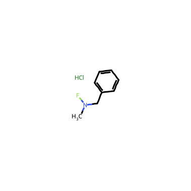 CN(F)Cc1ccccc1.Cl